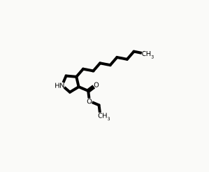 CCCCCCCCC1CNCC1C(=O)OCC